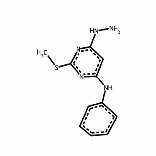 CSc1nc(NN)cc(Nc2ccccc2)n1